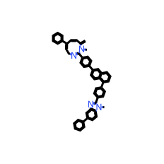 C=C1/C=C\C(c2ccccc2)=C/C/N=C(/c2ccc(-c3ccc4c(-c5ccc(-c6nc7cc(-c8ccccc8)ccc7n6C)cc5)cccc4c3)cc2)N1C